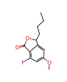 CCCCC1OC(=O)c2c(I)cc(OC)cc21